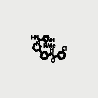 CNc1[nH]ccc1C(=N)N1CCCC(c2cccc(NC(=O)c3cccc(Cl)c3)c2)C1